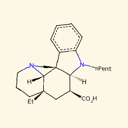 CCCCCN1c2ccccc2[C@]23CCN4CCC[C@@](CC)(C[C@H](C(=O)O)[C@H]12)[C@H]43